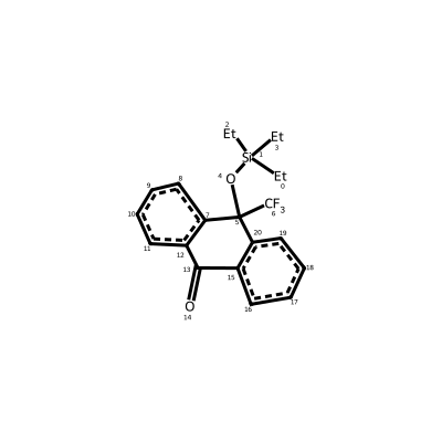 CC[Si](CC)(CC)OC1(C(F)(F)F)c2ccccc2C(=O)c2ccccc21